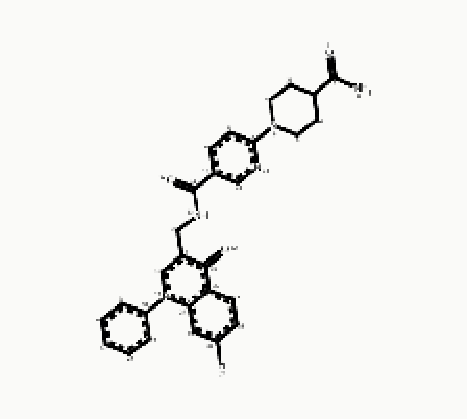 NC(=O)C1CCN(c2ccc(C(=O)NCc3cn(-c4ccccc4)c4cc(Cl)ccc4c3=O)cn2)CC1